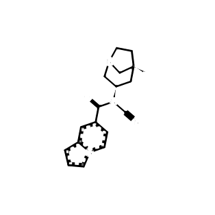 N#CN(C(=O)c1ccn2cccc2c1)[C@@H]1C[C@H]2CCN(C2)C1